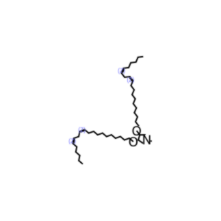 CCCCC/C=C\C/C=C\CCCCCCCCCCOC1CN(C)CC1OCCCCCCCCCC/C=C\C/C=C\CCCCC